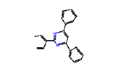 C=C/C(=C\C)c1nc(-c2ccccc2)cc(-c2ccccc2)n1